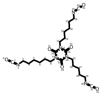 O=C=NCCCCCCn1c(=O)n(CCCCCCN=C=O)c(=O)n(CCCCCN=C=O)c1=O